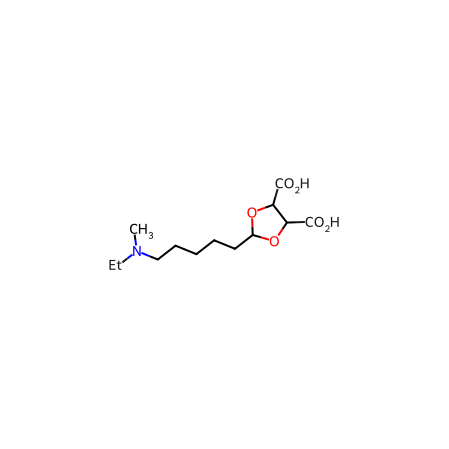 CCN(C)CCCCCC1OC(C(=O)O)C(C(=O)O)O1